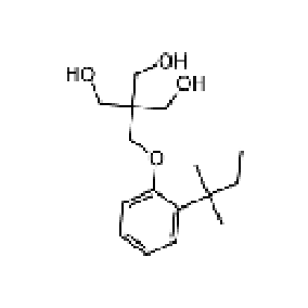 CCC(C)(C)c1ccccc1OCC(CO)(CO)CO